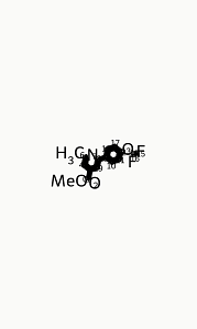 COC(=O)c1cc(C)nc(-c2ccc(OC(F)F)cc2)c1